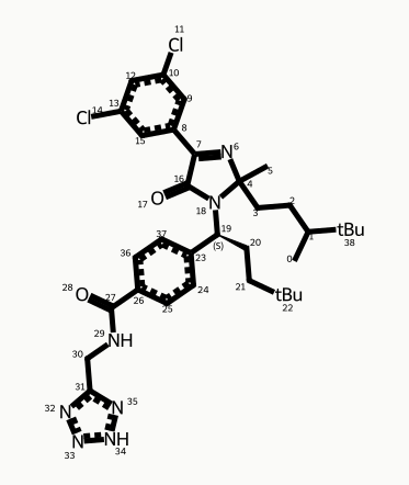 CC(CCC1(C)N=C(c2cc(Cl)cc(Cl)c2)C(=O)N1[C@@H](CCC(C)(C)C)c1ccc(C(=O)NCc2nn[nH]n2)cc1)C(C)(C)C